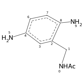 CC(=O)NCc1cc(N)ccc1N